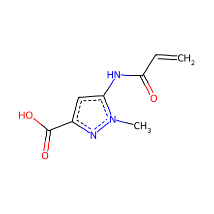 C=CC(=O)Nc1cc(C(=O)O)nn1C